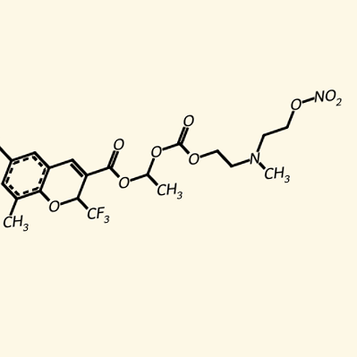 Cc1cc(Cl)cc2c1OC(C(F)(F)F)C(C(=O)OC(C)OC(=O)OCCN(C)CCO[N+](=O)[O-])=C2